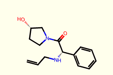 C=CCN[C@H](C(=O)N1CC[C@H](O)C1)c1ccccc1